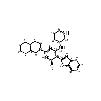 O=c1[nH]c(N2CCC3CCCCC3C2)nc(NC2CCCNC2)c1-c1nc2ccccc2s1